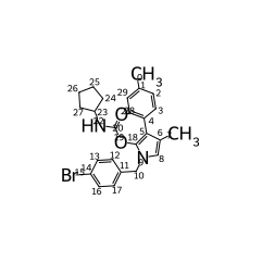 Cc1ccc(-c2c(C)cn(Cc3ccc(Br)cc3)c2OC(=O)NC2CCCC2)cc1